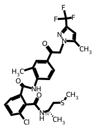 CSC[C@H](C)NC(=O)c1c(Cl)cccc1C(=O)Nc1ccc(C(=O)Cn2nc(C(F)(F)F)cc2C)cc1C